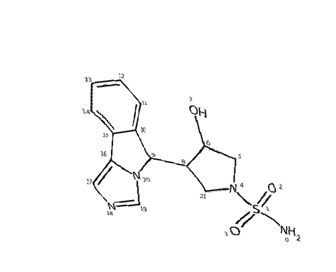 NS(=O)(=O)N1CC(O)C(C2c3ccccc3-c3cncn32)C1